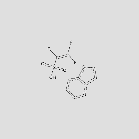 O=S(=O)(O)C(F)=C(F)F.c1ccc2sccc2c1